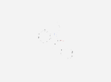 CCNC(=O)C(O)(c1ccccc1)c1ccccc1